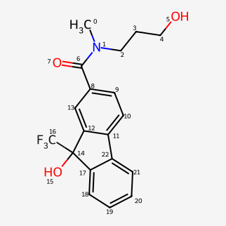 CN(CCCO)C(=O)c1ccc2c(c1)C(O)(C(F)(F)F)c1ccccc1-2